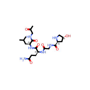 CC(=O)CNC(=O)[C@H](CC(C)C)NC(=O)[C@H](CCC(N)=O)NC(=O)CNC(=O)[C@@H]1C[C@@H](O)CN1